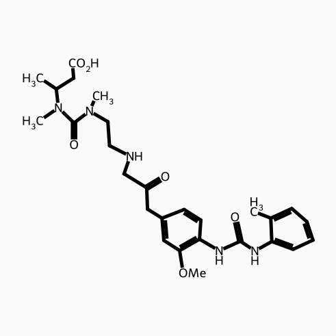 COc1cc(CC(=O)CNCCN(C)C(=O)N(C)C(C)CC(=O)O)ccc1NC(=O)Nc1ccccc1C